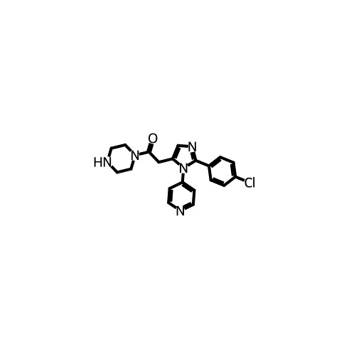 O=C(Cc1cnc(-c2ccc(Cl)cc2)n1-c1ccncc1)N1CCNCC1